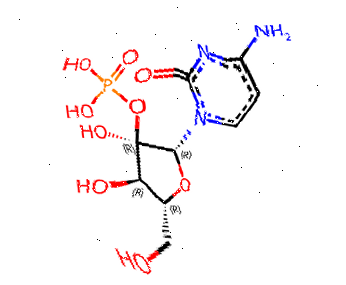 Nc1ccn([C@@H]2O[C@H](CO)[C@@H](O)[C@@]2(O)OP(=O)(O)O)c(=O)n1